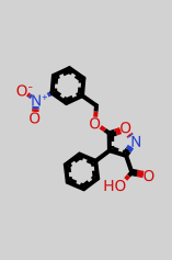 O=C(O)c1noc(OCc2cccc([N+](=O)[O-])c2)c1-c1ccccc1